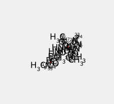 CCN1CCC(Oc2ccc(NC(=O)Nc3ccc(-c4cn(C5CC5)c5ncnc(N(C(=O)O)C(=O)OC(C)(C)C)c45)c4c3OC(C)C4)cc2C(F)(F)F)CC1